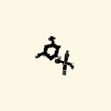 Brc1cccc(I)c1.O=S(=O)(Cl)Cl